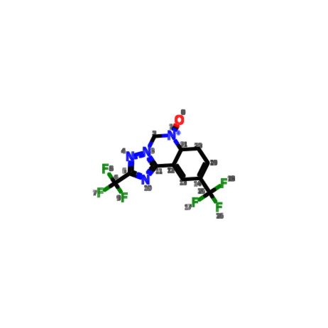 O=[N+]1Cn2nc(C(F)(F)F)nc2C2=CC(C(F)(F)F)=CCC21